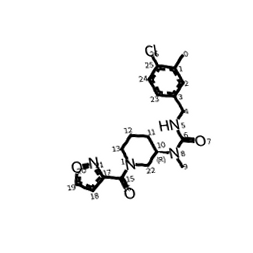 Cc1cc(CNC(=O)N(C)[C@@H]2CCCN(C(=O)c3ccon3)C2)ccc1Cl